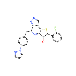 O=C1C2=NC(Cc3ccc(-n4cccn4)cc3)C3=NN=CC3=C2SC1c1ccccc1F